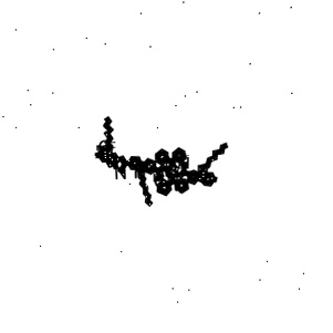 [C-]#[N+]/C(C)=C\c1cc(C)c(/C=C(\C#N)c2ccc3c4ccc(/C(=C/c5cc(N(c6ccccc6)c6ccccc6)c(/C=C(\C#N)c6ccc7c8ccc(C)cc8n(CCCCCCCC)c7c6)cc5N(c5ccccc5)c5ccccc5)[N+]#[C-])cc4n(CCCCCCCC)c3c2)cc1OCCCCCCCC